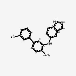 CCC(C)c1cccc(-c2ncc(C)c(Nc3ccc4[nH]ncc4c3)n2)c1